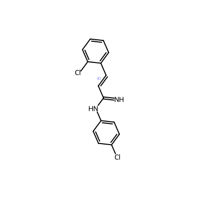 N=C(/C=C/c1ccccc1Cl)Nc1ccc(Cl)cc1